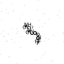 NC(=O)C1CCCN(C(=O)c2ccc3cc(Oc4ccc(C(F)(F)F)cn4)ccc3n2)C1